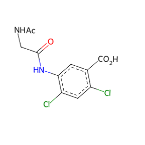 CC(=O)NCC(=O)Nc1cc(C(=O)O)c(Cl)cc1Cl